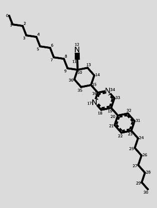 CCCCCCCCCCC1(C#N)CCC(c2ncc(-c3ccc(CCCCCCC)cc3)cn2)CC1